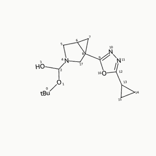 CC(C)(C)OC(O)N1CC2CC2(c2nnc(C3CC3)o2)C1